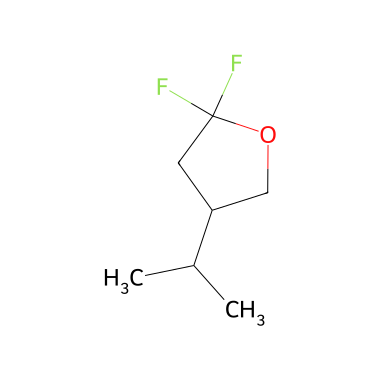 CC(C)C1COC(F)(F)C1